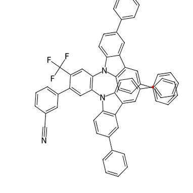 N#Cc1cccc(-c2cc(-n3c4ccc(-c5ccccc5)cc4c4cc(-c5ccccc5)ccc43)c(-n3c4ccc(-c5ccccc5)cc4c4cc(-c5ccccc5)ccc43)cc2C(F)(F)F)c1